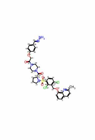 Cc1ccc2cccc(OCc3c(Cl)ccc(S(=O)(=O)N4CCC[C@H]4C(=O)N4CCN(C(=O)COc5ccc(C=NN)cc5)CC4)c3Cl)c2n1